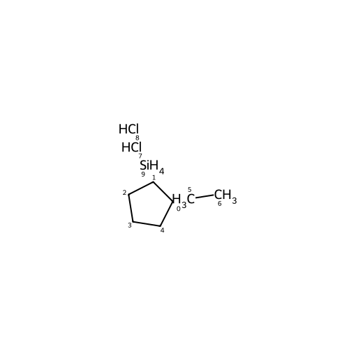 C1CCCC1.CC.Cl.Cl.[SiH4]